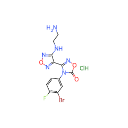 Cl.NCCNc1nonc1-c1noc(=O)n1-c1ccc(F)c(Br)c1